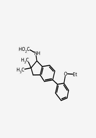 CCOc1ccccc1-c1ccc2c(c1)CC(C)(C)C2NC(=O)O